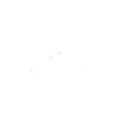 OCc1cc2c(F)cccn2n1